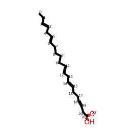 CCC=CCC=CCCCCC=CCC=CCCC=CCC(=O)O